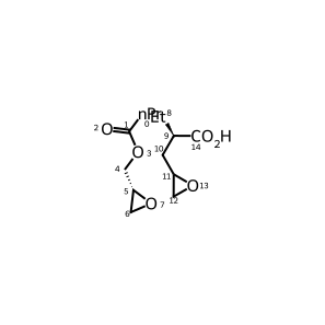 CCCC(=O)OC[C@H]1CO1.CC[C@H](CC1CO1)C(=O)O